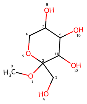 COC1(CO)OCC(O)C(O)C1O